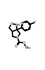 CC(C)(C)OC(=O)N1CC2CONC2(c2ccc(F)cn2)C1